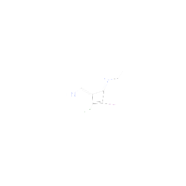 CC/N=C1C(I)=C(Cl)C\1=C/N